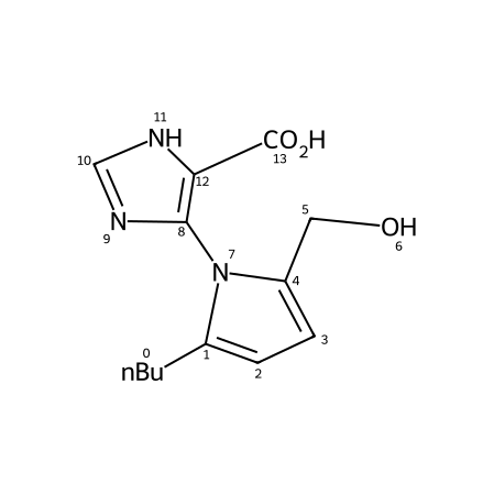 CCCCc1ccc(CO)n1-c1nc[nH]c1C(=O)O